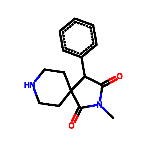 CN1C(=O)C(c2ccccc2)C2(CCNCC2)C1=O